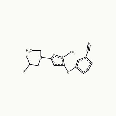 CCN(CC(F)F)c1cc(Oc2cccc(C#N)c2)n(C)n1